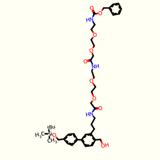 CC(C)(C)[Si](C)(C)OCc1ccc(-c2ccc(CO)c(CCCNC(=O)COCCOCCNC(=O)COCCOCCNC(=O)OCc3ccccc3)c2)cc1